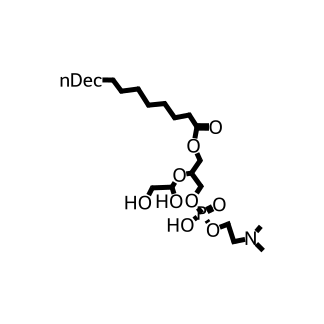 CCCCCCCCCCCCCCCCCC(=O)OCC(COP(=O)(O)OCCN(C)C)OC(O)CO